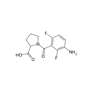 Nc1ccc(F)c(C(=O)N2CCCC2C(=O)O)c1F